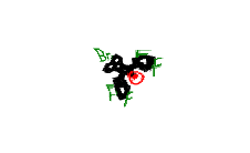 O=C1C(c2cc(F)cc(F)c2)=C2C(=C1c1cc(F)cc(F)c1)c1ccc(Br)c3cccc2c13